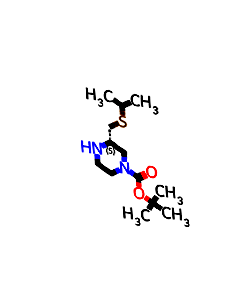 CC(C)SC[C@@H]1CN(C(=O)OC(C)(C)C)CCN1